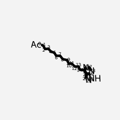 CC(=O)CCCCCCCCCCCCCCc1ncnc2[nH]ncc12